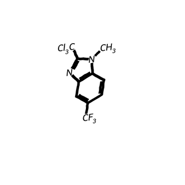 Cn1c(C(Cl)(Cl)Cl)nc2cc(C(F)(F)F)ccc21